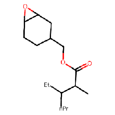 CCCC(CC)C(C)C(=O)OCC1CCC2OC2C1